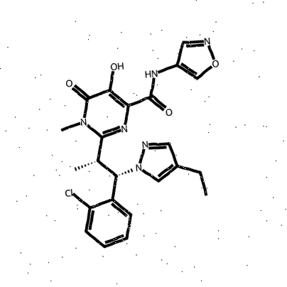 CCc1cnn([C@H](c2ccccc2Cl)[C@H](C)c2nc(C(=O)Nc3cnoc3)c(O)c(=O)n2C)c1